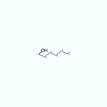 CC(=CCO)CCCC(C)CCCC(C)CCCC(C)CCCC(C)CCCC(C)C